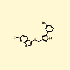 Clc1ccc2c(SCc3cc(-c4cccc(Br)c4)[nH]n3)c[nH]c2c1